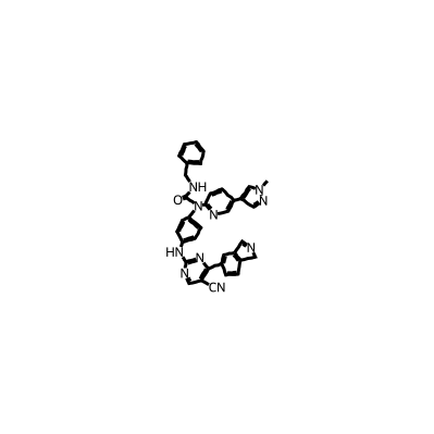 Cn1cc(-c2ccc(N(C(=O)NCc3ccccc3)c3ccc(Nc4ncc(C#N)c(-c5ccc6c(c5)C=NC6)n4)cc3)nc2)cn1